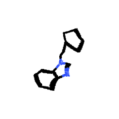 c1ccc2c(c1)ncn2CC1CCCC1